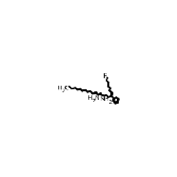 CCCCCCCCCCCCC(N)CC(N)CCC(CCCCCCCF)c1ccccc1